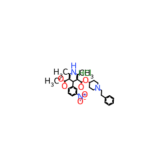 COC(=O)C1=C(C)NC(C)=C(C(=O)OC2CCN(CCc3ccccc3)CC2)C1c1cccc([N+](=O)[O-])c1.Cl